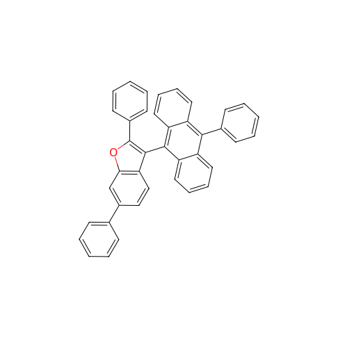 c1ccc(-c2ccc3c(-c4c5ccccc5c(-c5ccccc5)c5ccccc45)c(-c4ccccc4)oc3c2)cc1